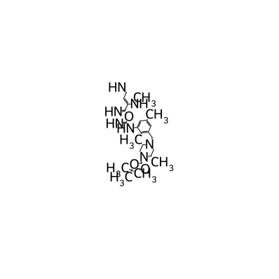 CN/C(=C\C=N)C(=N)OC(=N)Nc1cc(C)cc(CN2CCN(C(=O)OC(C)(C)C)[C@@H](C)C2)c1C